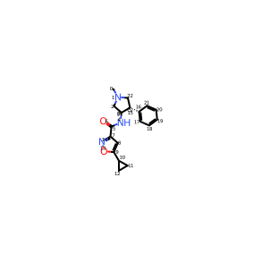 CN1C[C@H](NC(=O)c2cc(C3CC3)on2)[C@@H](c2ccccc2)C1